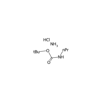 CCCNC(=O)OC(C)(C)C.Cl.N